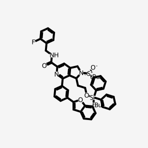 CC(C)(C)[S@@+]([O-])N1Cc2cc(C(=O)NCc3ccccc3F)nc(-c3cccc(-c4cc5ccccc5o4)c3)c2C1CCO[Si](c1ccccc1)(c1ccccc1)C(C)(C)C